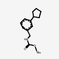 CC(C)(C)OC(=O)NCc1cccc(C2CCCC2)c1